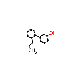 C=CCc1ccccc1-c1cccc(O)c1